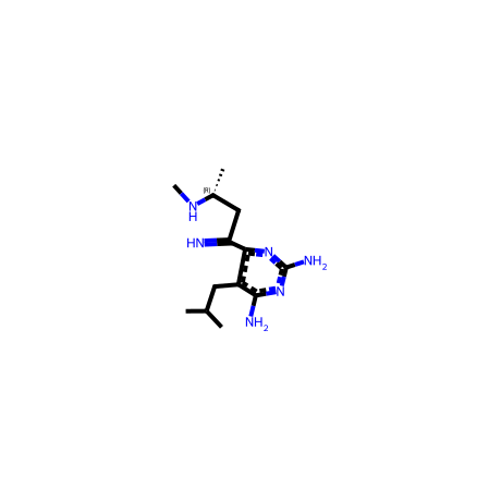 CN[C@H](C)CC(=N)c1nc(N)nc(N)c1CC(C)C